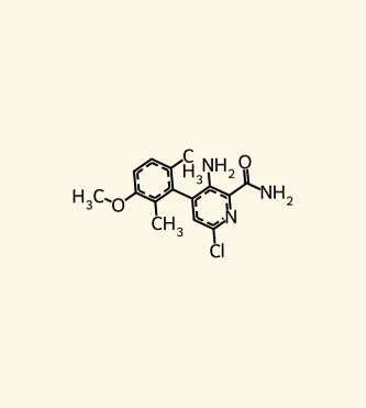 COc1ccc(C)c(-c2cc(Cl)nc(C(N)=O)c2N)c1C